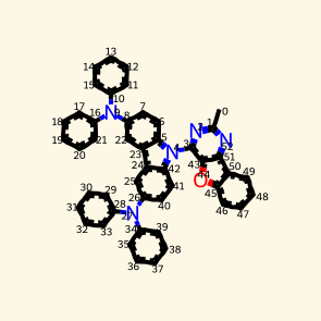 Cc1nc(-n2c3ccc(N(c4ccccc4)c4ccccc4)cc3c3cc(N(c4ccccc4)c4ccccc4)ccc32)c2oc3ccccc3c2n1